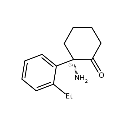 CCc1ccccc1[C@@]1(N)CCCCC1=O